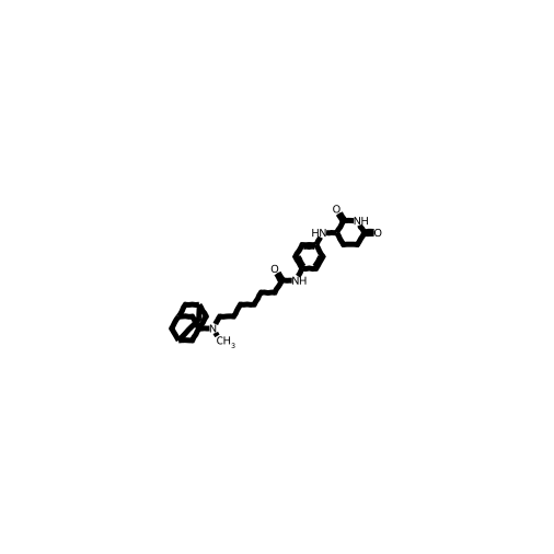 CN(CCCCCCC(=O)Nc1ccc(NC2CCC(=O)NC2=O)cc1)C12CC3CC(CC(C3)C1)C2